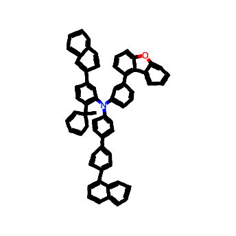 CC1(c2ccc(-c3ccc4ccccc4c3)cc2N(c2ccc(-c3ccc(-c4cccc5ccccc45)cc3)cc2)c2cccc(-c3cccc4oc5ccccc5c34)c2)C=CC=CC1